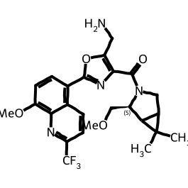 COC[C@@H]1C2C(CN1C(=O)c1nc(-c3ccc(OC)c4nc(C(F)(F)F)ccc34)oc1CN)C2(C)C